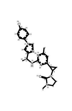 Cc1cc(C2CC2N2CCN(C)C2=O)nc(N[C@@H](C)c2cn(-c3ccc(Cl)cc3)cn2)n1